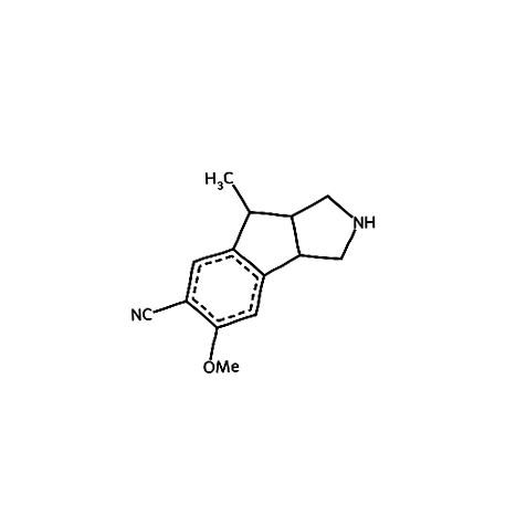 COc1cc2c(cc1C#N)C(C)C1CNCC21